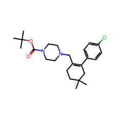 CC1(C)CCC(CN2CCN(C(=O)OC(C)(C)C)CC2)=C(c2ccc(Cl)cc2)C1